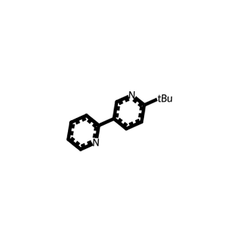 CC(C)(C)c1ccc(-c2ccccn2)cn1